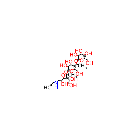 C#CCNCC(O)C1OC(C)(O[C@@H]2OC(CO)[C@@H](C(C)O[C@H]3OC(CO)[C@@H](O)C(O)C3O)C(O)C2O)[C@@H]1C(O)CO